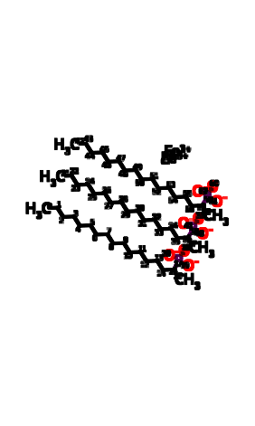 CCCCCCCCCCCCCCCC(C)P(=O)([O-])[O-].CCCCCCCCCCCCCCCC(C)P(=O)([O-])[O-].CCCCCCCCCCCCCCCC(C)P(=O)([O-])[O-].[Fe+3].[Fe+3]